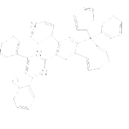 c1ccc(-c2nc(-c3cc4c(cc3-c3ccncc3)C(c3ccccc3)(c3ccccc3)c3ccccc3-4)nc3c2oc2ccccc23)cc1